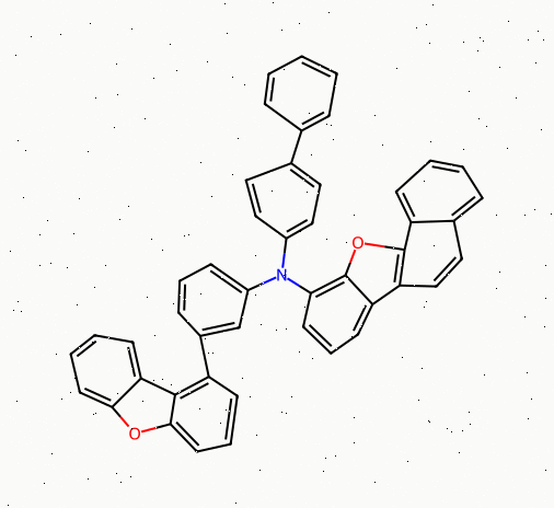 c1ccc(-c2ccc(N(c3cccc(-c4cccc5oc6ccccc6c45)c3)c3cccc4c3oc3c5ccccc5ccc43)cc2)cc1